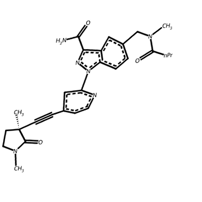 CCCC(=O)N(C)Cc1ccc2c(c1)c(C(N)=O)nn2-c1cc(C#C[C@]2(C)CCN(C)C2=O)ccn1